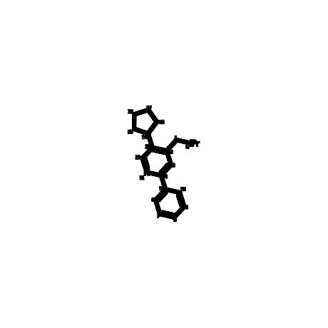 CC(C)Cc1cc(-c2ccccc2)ncc1C1CCCC1